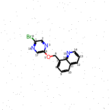 Brc1cnc(OCc2cccc3cccnc23)cn1